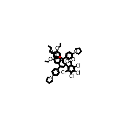 CCOc1ccc(C(=CC2(C=C(c3ccc(N4CCCC4)cc3)c3ccc(OCC)c(OCC)c3)OC(=O)c3c(Cl)c(Cl)c(Cl)c(Cl)c32)c2ccc(N3CCCC3)cc2)cc1OCC